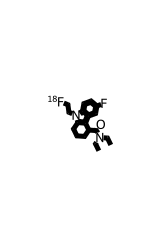 CCN(CC)C(=O)C1CCCc2c1c1cc(F)ccc1n2CC[18F]